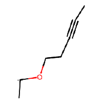 CC#CCCO[CH]C